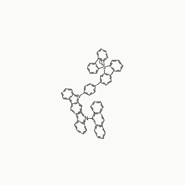 O=S12(c3ccccc3-c3ccccc31)c1ccccc1-c1ccc(-c3ccc(-n4c5ccccc5c5cc6c7ccccc7n(-c7c8ccccc8cc8ccccc78)c6cc54)cc3)cc12